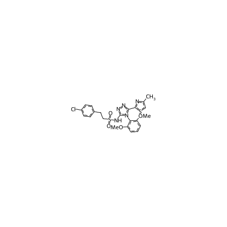 COc1cccc(OC)c1-n1c(NS(=O)(=O)CCc2ccc(Cl)cc2)nnc1-c1nc(C)cs1